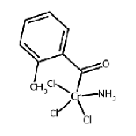 Cc1ccccc1[C](=O)[Cr]([NH2])([Cl])([Cl])[Cl]